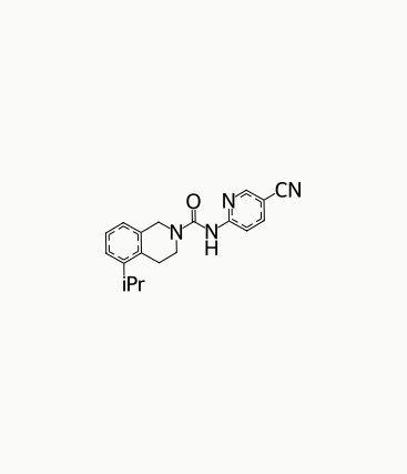 CC(C)c1cccc2c1CCN(C(=O)Nc1ccc(C#N)cn1)C2